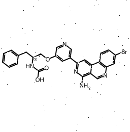 Nc1nc(-c2cncc(OC[C@H](Cc3ccccc3)NC(=O)O)c2)cc2c1cnc1cc(Br)ccc12